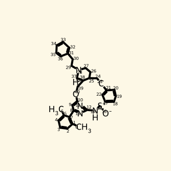 Cc1cccc(C)c1-c1cc2nc(n1)N[S+]([O-])c1cccc(c1)CCC1CCN(CCc3ccccc3)C[C@@H]1CO2